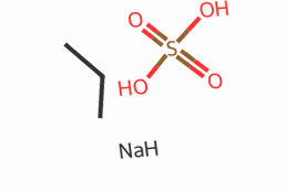 CCC.O=S(=O)(O)O.[NaH]